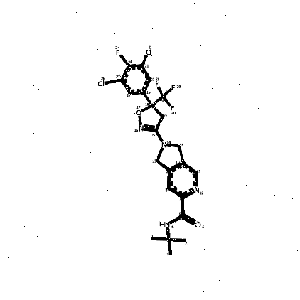 CC(C)(C)NC(=O)c1cc2c(cn1)CN(C1=NOC(c3cc(Cl)c(F)c(Cl)c3)(C(F)(F)F)C1)C2